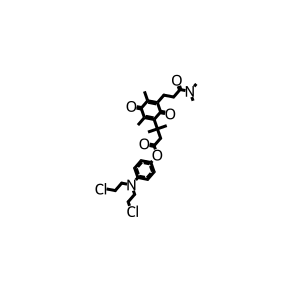 CC1=C(CCC(=O)N(C)C)C(=O)C(C(C)(C)CC(=O)Oc2ccc(N(CCCl)CCCl)cc2)=C(C)C1=O